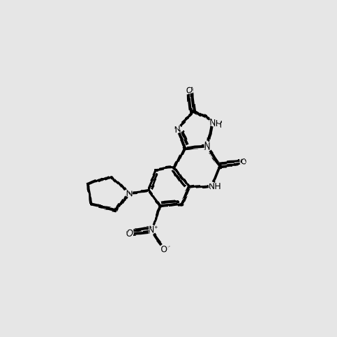 O=c1nc2c3cc(N4CCCC4)c([N+](=O)[O-])cc3[nH]c(=O)n2[nH]1